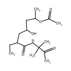 CCC(CC(O)CC(C)OC(C)=O)C(=O)NC(C)(C)C(C)=O